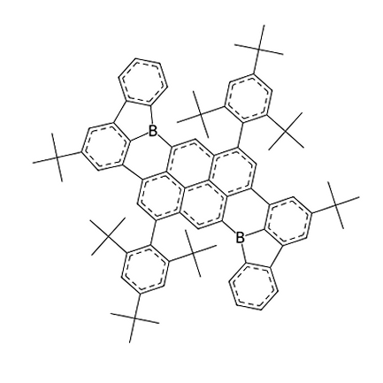 CC(C)(C)c1cc2c3c(c1)-c1cc(-c4c(C(C)(C)C)cc(C(C)(C)C)cc4C(C)(C)C)c4cc5c6c(cc(-c7c(C(C)(C)C)cc(C(C)(C)C)cc7C(C)(C)C)c7cc(c1c4c76)B3c1ccccc1-2)-c1cc(C(C)(C)C)cc2c1B5c1ccccc1-2